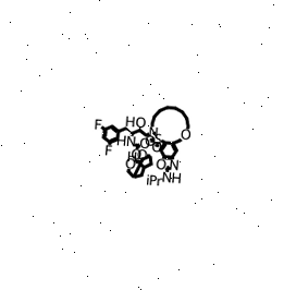 CC(C)Nc1nc2cc3c(cc2o1)S(=O)(=O)N(C[C@@H](O)[C@H](Cc1cc(F)cc(F)c1)NC(=O)O[C@H]1C2CO[C@H]4OC1CC4C2)CCCCCCCCOC3